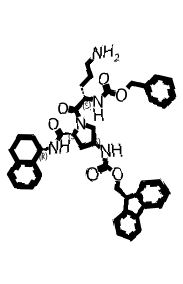 NCCC[C@H](NC(=O)OCc1ccccc1)C(=O)N1C[C@@H](NC(=O)OCC2c3ccccc3-c3ccccc32)C[C@H]1C(=O)N[C@@H]1CCCc2ccccc21